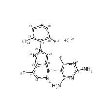 Cc1nc(N)nc(N)c1-c1ncc(F)c2nn(-c3c(F)cccc3Cl)cc12.Cl